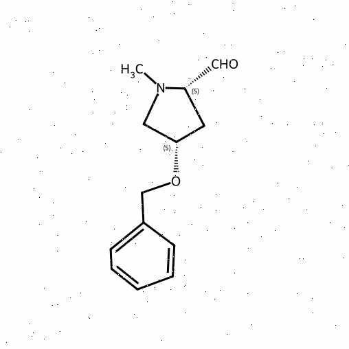 CN1C[C@@H](OCc2ccccc2)C[C@H]1C=O